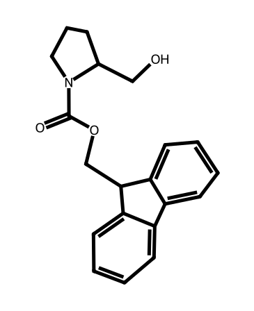 O=C(OCC1c2ccccc2-c2ccccc21)N1CCCC1CO